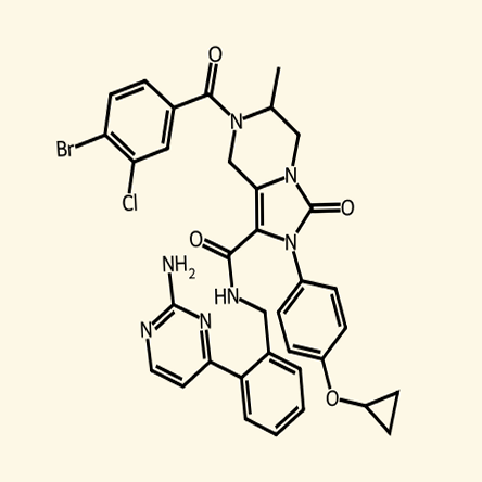 CC1Cn2c(c(C(=O)NCc3ccccc3-c3ccnc(N)n3)n(-c3ccc(OC4CC4)cc3)c2=O)CN1C(=O)c1ccc(Br)c(Cl)c1